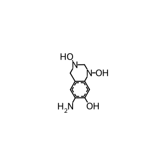 Nc1cc2c(cc1O)N(O)CN(O)C2